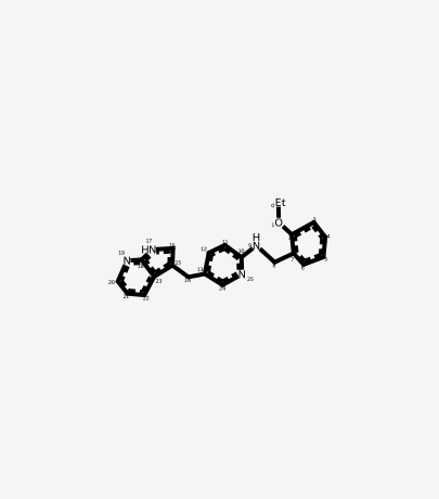 CCOc1ccccc1CNc1ccc(Cc2c[nH]c3ncccc23)cn1